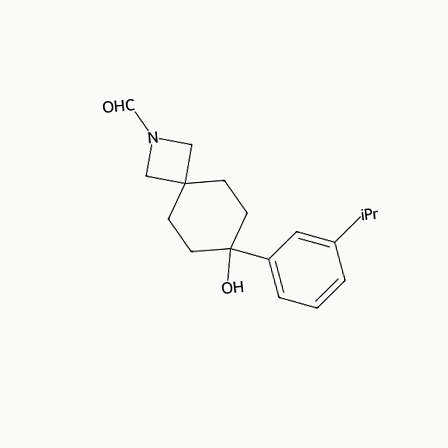 CC(C)c1cccc(C2(O)CCC3(CC2)CN(C=O)C3)c1